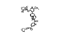 Cc1cc(-c2ccn3nc(Nc4ccc(C(=O)NCC5CCOCC5)cn4)cc3c2)c(OC2C[C@H]3COC[C@@H](C2)N3)cn1